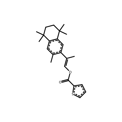 CC(=COC(=O)c1cccs1)c1cc2c(cc1C)C(C)(C)CCC2(C)C